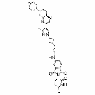 Cc1nn(C2CC(CCCNc3ccc4c(c3)C(=O)N(C3CCC(=O)NC3=O)C4=O)C2)cc1-c1cnc2ccc(C3CCOCC3)cc2n1